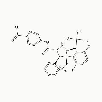 CC(C)(C)C[C@@H]1N[C@@H](C(=O)Nc2ccc(C(=O)O)cc2)[C@H](c2ccccc2Cl)[C@@]1(CN)c1cc(Cl)ccc1F